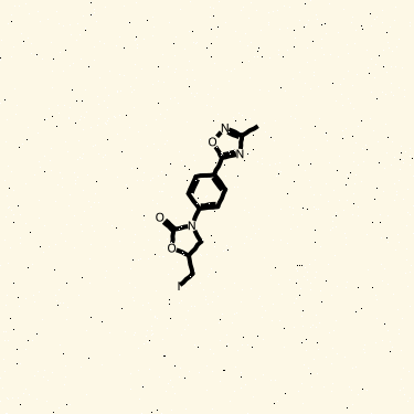 Cc1noc(-c2ccc(N3CC(CI)OC3=O)cc2)n1